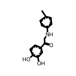 Cc1ccc(NCC(=O)c2ccc(O)c(O)c2)cc1